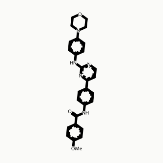 COc1ccc(C(=O)Nc2ccc(-c3ccnc(Nc4ccc(N5CCOCC5)cc4)n3)cc2)cc1